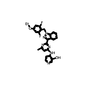 CCOc1cc(F)c(Cn2nc(-c3nc(C)cc(Nc4ccncc4O)n3)c3ccccc32)c(F)c1